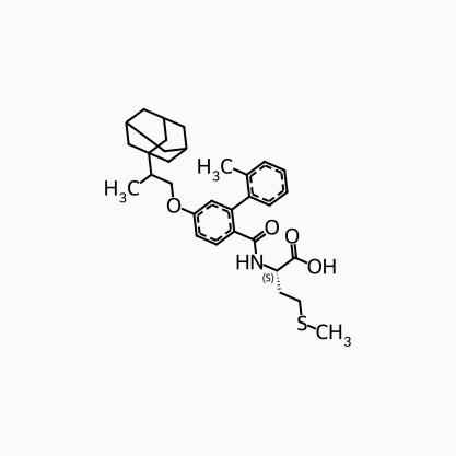 CSCC[C@H](NC(=O)c1ccc(OCC(C)C23CC4CC(CC(C4)C2)C3)cc1-c1ccccc1C)C(=O)O